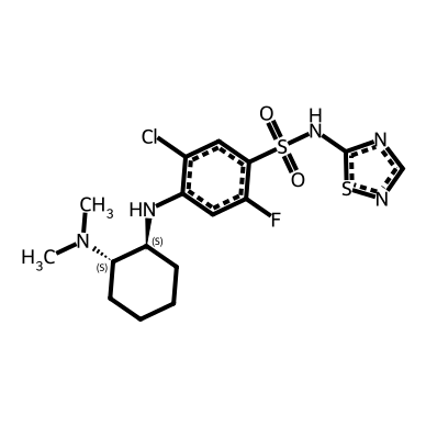 CN(C)[C@H]1CCCC[C@@H]1Nc1cc(F)c(S(=O)(=O)Nc2ncns2)cc1Cl